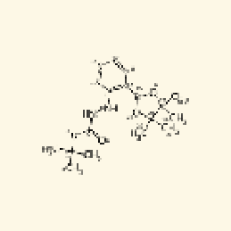 CC(C)(C)OC(=O)NNc1cnccc1B1OC(C)(C)C(C)(C)O1